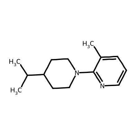 Cc1cccnc1N1CCC(C(C)C)CC1